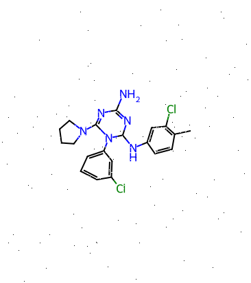 Cc1ccc(NC2N=C(N)N=C(N3CCCC3)N2c2cccc(Cl)c2)cc1Cl